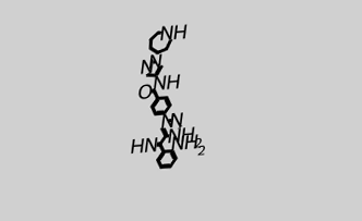 C=NN(/C=C(\N)C(=N)c1ccccc1N)c1ccc(C(=O)Nc2cnn(C3CCCNCC3)c2)cc1